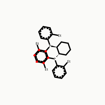 CCc1ccccc1P(c1ccccc1CC)[C@H]1CCCC[C@@H]1P(c1ccccc1CC)c1ccccc1CC